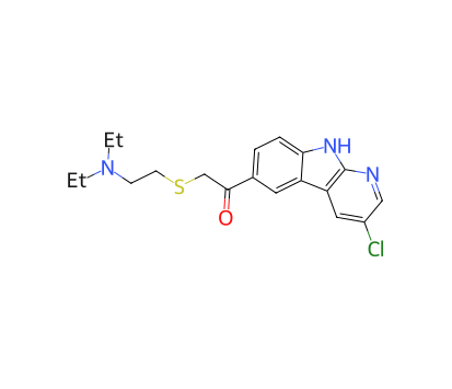 CCN(CC)CCSCC(=O)c1ccc2[nH]c3ncc(Cl)cc3c2c1